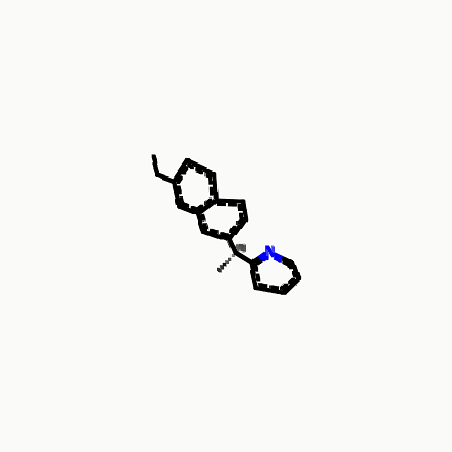 CCc1ccc2ccc([C@@H](C)c3ccccn3)cc2c1